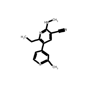 CCc1nc(NC)c(C#N)cc1-c1ccnc(C)c1